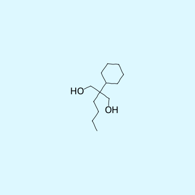 CCCCC(CO)(CO)C1CCCCC1